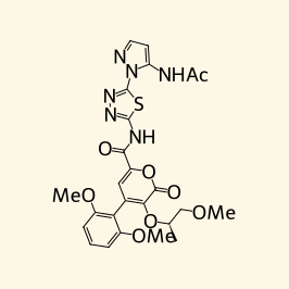 COC[C@@H](C)Oc1c(-c2c(OC)cccc2OC)cc(C(=O)Nc2nnc(-n3nccc3NC(C)=O)s2)oc1=O